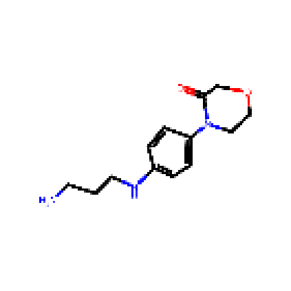 NCCCNc1ccc(N2CCOCC2=O)cc1